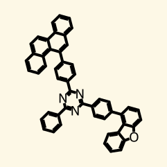 c1ccc(-c2nc(-c3ccc(-c4cccc5oc6ccccc6c45)cc3)nc(-c3ccc(-c4cc5ccccc5c5ccc6ccccc6c45)cc3)n2)cc1